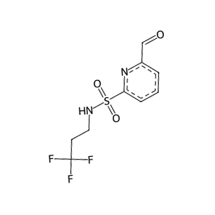 O=Cc1cccc(S(=O)(=O)NCCC(F)(F)F)n1